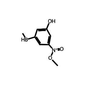 CBc1cc(O)cc([N+](=O)OC)c1